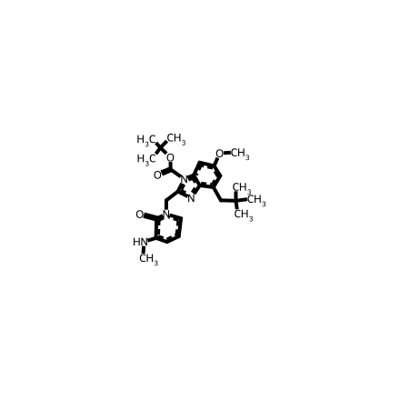 CNc1cccn(Cc2nc3c(CC(C)(C)C)cc(OC)cc3n2C(=O)OC(C)(C)C)c1=O